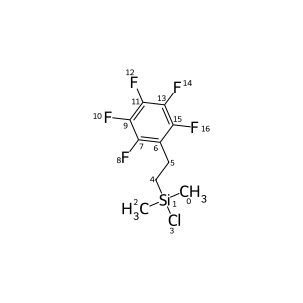 C[Si](C)(Cl)CCc1c(F)c(F)c(F)c(F)c1F